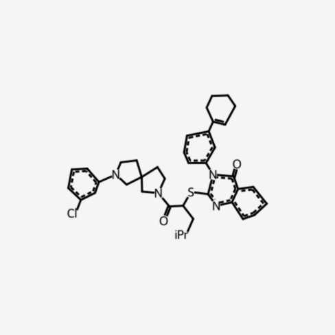 CC(C)CC(Sc1nc2ccccc2c(=O)n1-c1cccc(C2=CCCCC2)c1)C(=O)N1CCC2(CCN(c3cccc(Cl)c3)C2)C1